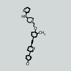 Cc1cc(C#Cc2ccc(-c3ccc(Cl)cc3)cn2)ccc1OCCN1CCC(Nc2ccccn2)CC1